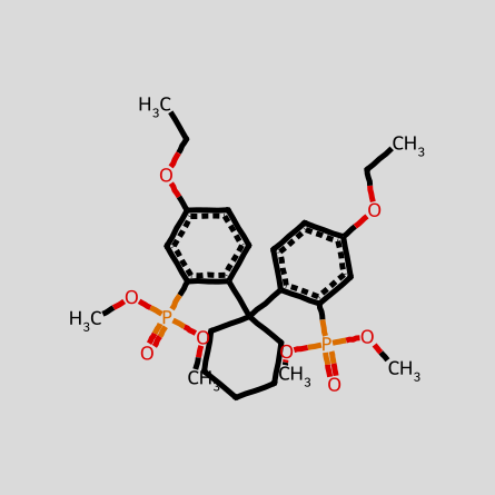 CCOc1ccc(C2(c3ccc(OCC)cc3P(=O)(OC)OC)CCCCC2)c(P(=O)(OC)OC)c1